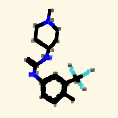 C=C(Nc1ccc(C)c(C(F)(F)F)c1)NC1CCN(C)CC1